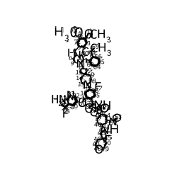 COc1ccc(CN2CCN(C3CC4(CCN(c5cc(Oc6cnc7[nH]cc(F)c7c6)c(C(=O)NS(=O)(=O)C6=CCC(NCC7(F)CCOCC7)C(N=O)=C6)cc5F)CC4)C3)[C@H](c3ccccc3C(C)C)C2)cc1OC